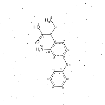 CCC(C(=O)O)c1ccc(Sc2ccccc2)cc1N